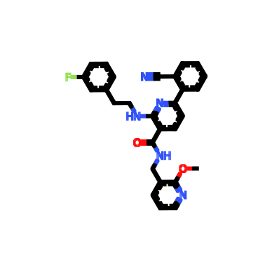 COc1ncccc1CNC(=O)c1ccc(-c2ccccc2C#N)nc1NCCc1cccc(F)c1